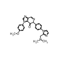 COc1ccc(-n2cnc3c2C(=O)C(c2ccc(-n4ccnc4CN(C)C)cc2)N=C3)cc1